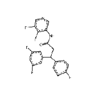 O=C(CC(c1ccc(F)cc1)c1cc(F)cc(F)c1)Nc1cncc(F)c1I